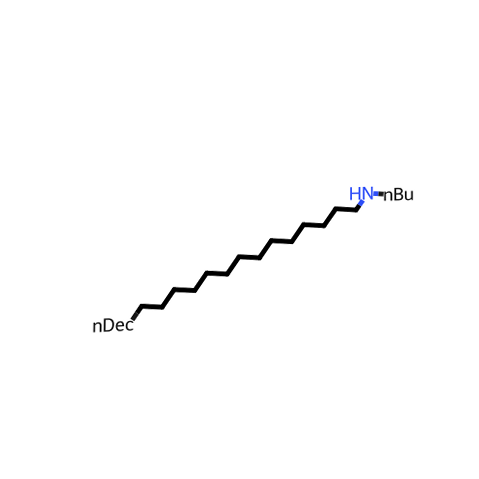 CCCCCCCCCCCCCCCCCCCCCCCCNCCCC